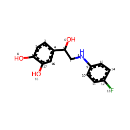 Oc1ccc(C(O)CNc2ccc(F)cc2)cc1O